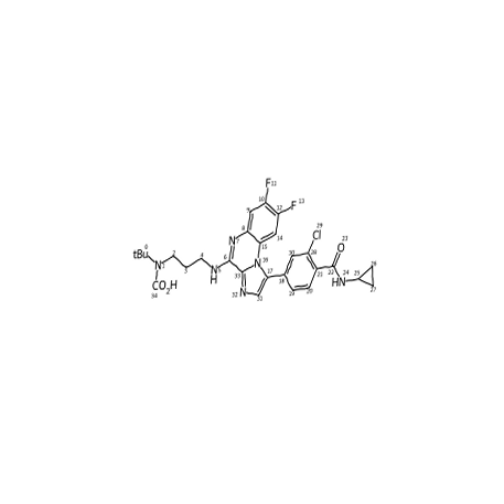 CC(C)(C)N(CCCNc1nc2cc(F)c(F)cc2n2c(-c3ccc(C(=O)NC4CC4)c(Cl)c3)cnc12)C(=O)O